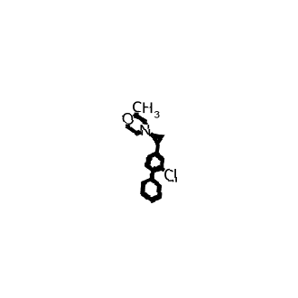 CC1CN(C2CC2c2ccc(C3CCCCC3)c(Cl)c2)CCO1